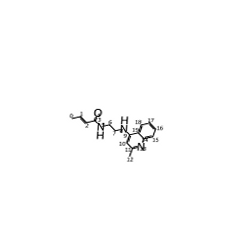 CC=CC(=O)NCCNc1cc(C)nc2ccccc12